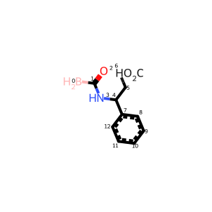 BC(=O)NC(CC(=O)O)c1ccccc1